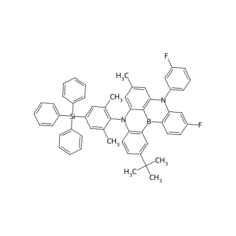 Cc1cc2c3c(c1)N(c1c(C)cc([Si](c4ccccc4)(c4ccccc4)c4ccccc4)cc1C)c1ccc(C(C)(C)C)cc1B3c1ccc(F)cc1N2c1cccc(F)c1